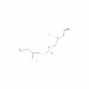 O=CCC(O)CO[PH](=O)OCC(O)CC=O